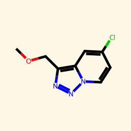 COCc1nnn2ccc(Cl)cc12